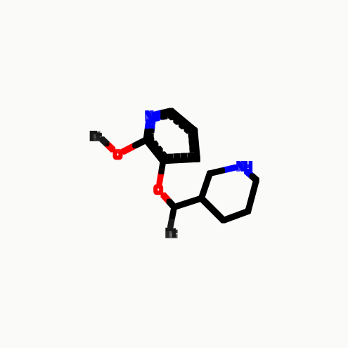 CCOc1ncccc1OC(CC)C1CCCNC1